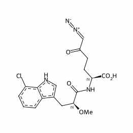 CO[C@@H](Cc1c[nH]c2c(Cl)cccc12)C(=O)N[C@@H](CCC(=O)C=[N+]=[N-])C(=O)O